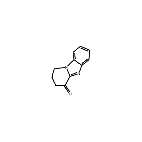 O=C1CCCn2c1nc1ccccc12